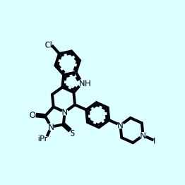 CC(C)N1C(=O)C2Cc3c([nH]c4ccc(Cl)cc34)C(c3ccc(N4CCN(I)CC4)cc3)N2C1=S